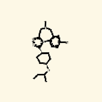 CCC(C)O[C@H]1CC[C@H](c2nnc3n2-c2ccc(Cl)cc2CN(C)C3)CC1